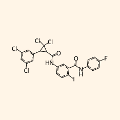 O=C(Nc1ccc(F)cc1)c1cc(NC(=O)C2C(c3cc(Cl)cc(Cl)c3)C2(Cl)Cl)ccc1I